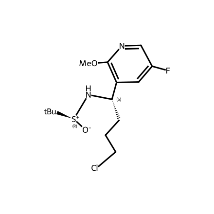 COc1ncc(F)cc1[C@H](CCCCl)N[S@@+]([O-])C(C)(C)C